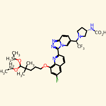 C[SiH2]OC(O[SiH2]C)C(C)(C)CCCOc1cc(F)cc2ccc(-c3nnc4ccc([C@@H](N5CC[C@H](NC(=O)O)C5)C(F)(F)F)cn34)nc12